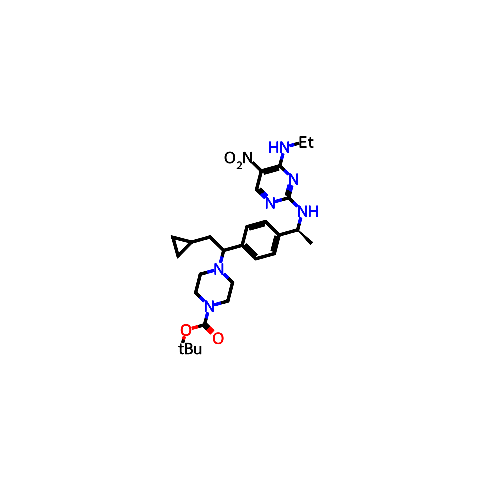 CCNc1nc(N[C@@H](C)c2ccc(C(CC3CC3)N3CCN(C(=O)OC(C)(C)C)CC3)cc2)ncc1[N+](=O)[O-]